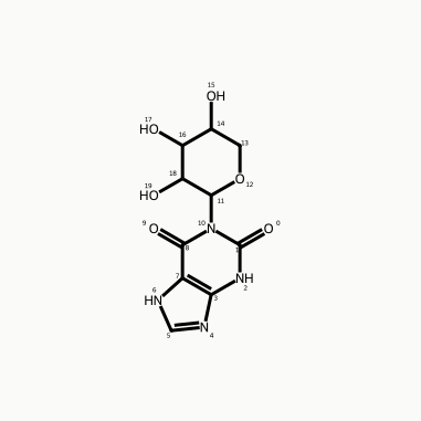 O=c1[nH]c2nc[nH]c2c(=O)n1C1OCC(O)C(O)C1O